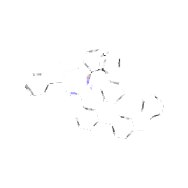 C[C@H]1CC(c2ccccc2)=NC(c2cccc(-c3ccc4sc5ccccc5c4c3)c2-c2cccc3c2sc2ccccc23)=NC1c1cc#ccc1